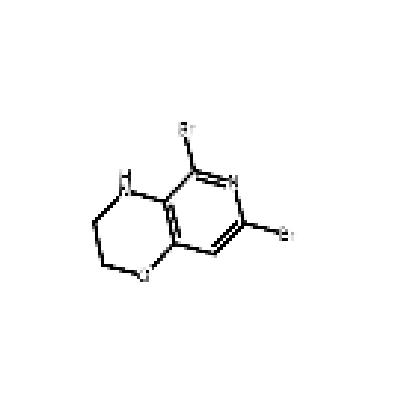 Brc1cc2c(c(Br)n1)NCCO2